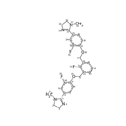 CN1CCN=C1c1ccc(OCc2cccc(COc3ccc(C4=NCCN4C)cc3F)c2F)c(F)c1